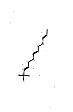 CC=CCCC=CCCC=CC(C)(C)C